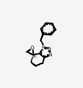 c1ccc(Cn2nnc3c2[C@]2(CCC3)CO2)cc1